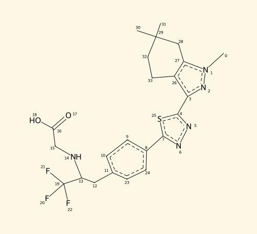 Cn1nc(-c2nnc(-c3ccc(CC(NCC(=O)O)C(F)(F)F)cc3)s2)c2c1CC(C)(C)CC2